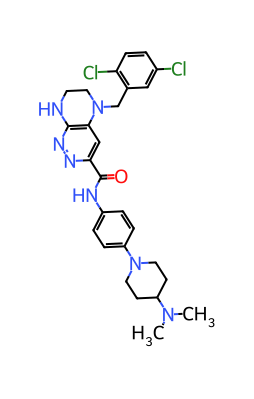 CN(C)C1CCN(c2ccc(NC(=O)c3cc4c(nn3)NCCN4Cc3cc(Cl)ccc3Cl)cc2)CC1